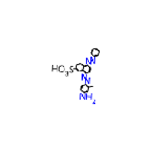 Cc1cc(N)ccc1/N=N/c1ccc(/N=N/c2ccccc2)c2ccc(S(=O)(=O)O)cc12